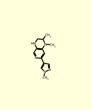 CC1CNc2cnc(-c3cnn(C)c3)cc2N1C